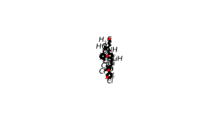 CSCCC(NC(=O)c1ccc(COCc2oc(-c3ccc(Cl)cc3)c(Cl)c2Cl)cc1-c1ccccc1C)C(=O)O.[LiH]